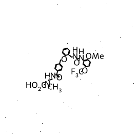 COc1ccc(OC(F)(F)F)cc1NC(=O)NCc1ccccc1OCc1ccc(C(=O)NCCN(C)C(=O)O)cc1